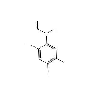 CCN(C)c1cc(F)c(F)cc1C